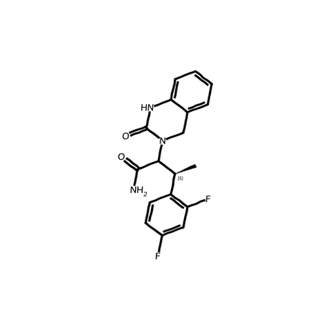 C[C@@H](c1ccc(F)cc1F)C(C(N)=O)N1Cc2ccccc2NC1=O